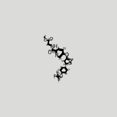 COC(=O)CNC(=O)c1ccc(OC2=NO[C@H](c3ccc(OC(F)(F)F)cc3)C2)cn1